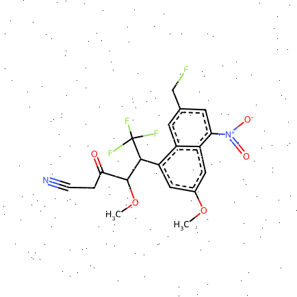 COc1cc(C(C(OC)C(=O)CC#N)C(F)(F)F)c2cc(CF)cc([N+](=O)[O-])c2c1